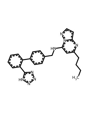 CCCCc1cc(NCc2ccc(-c3ccccc3-c3nnn[nH]3)cc2)n2nccc2n1